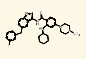 CN1CCN(c2ccc(C(=O)Nc3n[nH]c4ccc(Cc5cccc(F)c5)cc34)c(NC3CCCCC3)c2)CC1